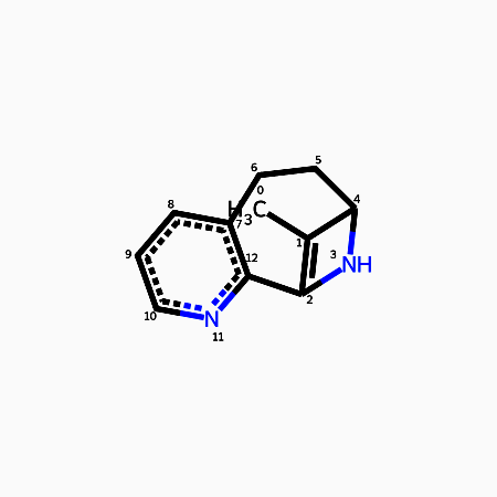 CC1=C2NC1CCc1cccnc12